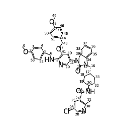 COc1ccc(CNc2ncc(-n3c(=O)n(C[C@H]4CC[C@H](NC(=O)c5cc(Cl)cnc5C)CC4)c4ccccc43)cc2OCc2ccc(OC)cc2)cc1